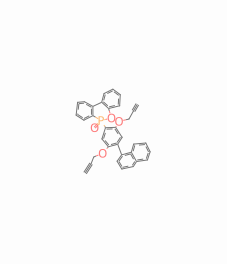 C#CCOc1cc(P2(=O)Oc3ccccc3-c3ccccc32)c(OCC#C)cc1-c1cccc2ccccc12